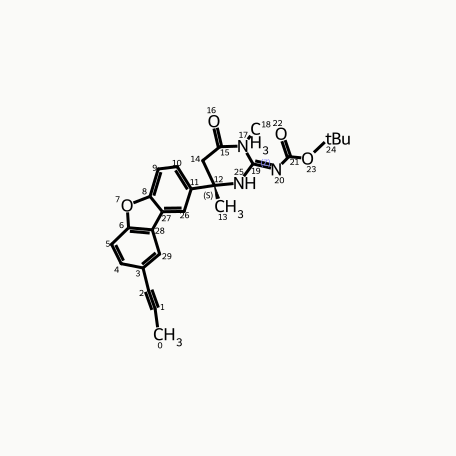 CC#Cc1ccc2oc3ccc([C@]4(C)CC(=O)N(C)/C(=N\C(=O)OC(C)(C)C)N4)cc3c2c1